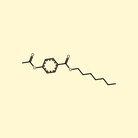 CCCCCCCOC(=O)c1ccc(OC(C)=O)cc1